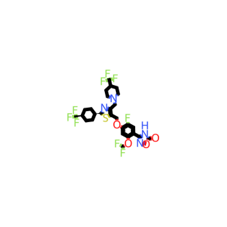 O=c1[nH]c(-c2cc(F)c(OCc3sc([C@H]4CC[C@H](C(F)(F)F)CC4)nc3CN3CCC(C(F)(F)F)CC3)cc2OC(F)F)no1